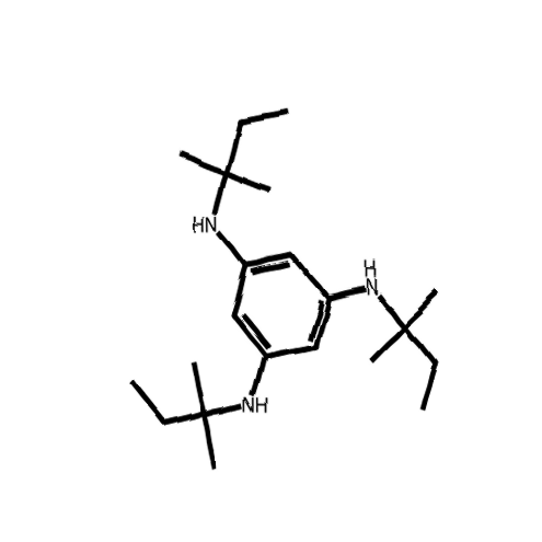 CCC(C)(C)Nc1cc(NC(C)(C)CC)cc(NC(C)(C)CC)c1